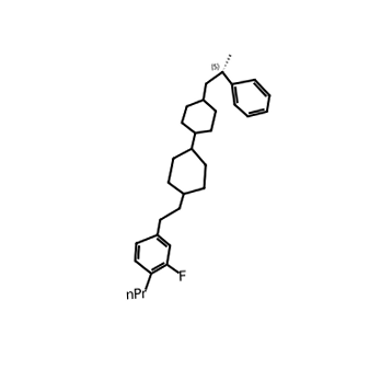 CCCc1ccc(CCC2CCC(C3CCC(C[C@H](C)c4ccccc4)CC3)CC2)cc1F